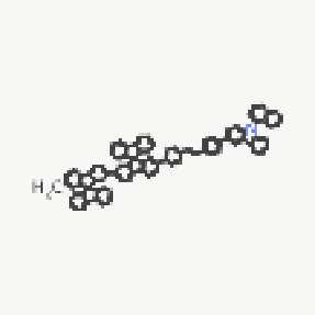 Cc1ccc2c(c1)C1(c3ccccc3-c3ccccc31)c1cc(-c3ccc4c(c3)C3(c5ccccc5-c5ccccc53)c3cc(-c5ccc(/C=C/c6ccc(-c7ccc8c(c7)c7ccccc7n8-c7cccc8ccccc78)cc6)cc5)ccc3-4)ccc1-2